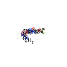 Cc1ccc(-c2noc(C)c2COc2ccc(C(=O)NC3CCC(OCC(F)F)CC3)nn2)cn1